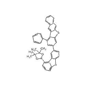 CC1(C)OB(c2cccc3sc4ccc(-c5cc(-c6ccccc6)c6c(c5)sc5cc7ccccc7cc56)cc4c23)OC1(C)C